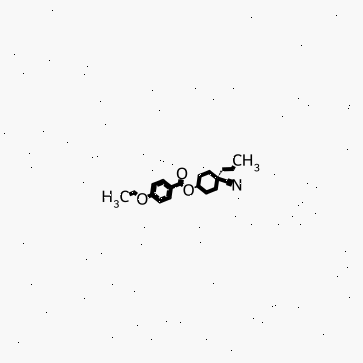 CCC[C@]1(C#N)CC[C@H](OC(=O)c2ccc(OCC)cc2)CC1